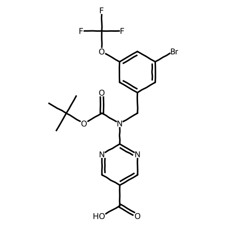 CC(C)(C)OC(=O)N(Cc1cc(Br)cc(OC(F)(F)F)c1)c1ncc(C(=O)O)cn1